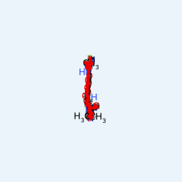 CCn1c2ccc(CNCCOCCOCCOCCOCCOCCC(=O)NCCOc3ccc(CCc4nc5cc(-c6c(C)noc6C)ccc5n4CCN4CCOCC4)cc3F)cc2c2ccc(-c3cscn3)cc21